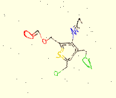 [C-]#[N+]c1c(COC=O)sc(CCl)c1CCl